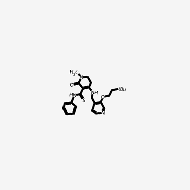 CN1CCC(NCc2ccncc2OCCC(C)(C)C)=C(C(=S)Nc2ccccc2)C1=O